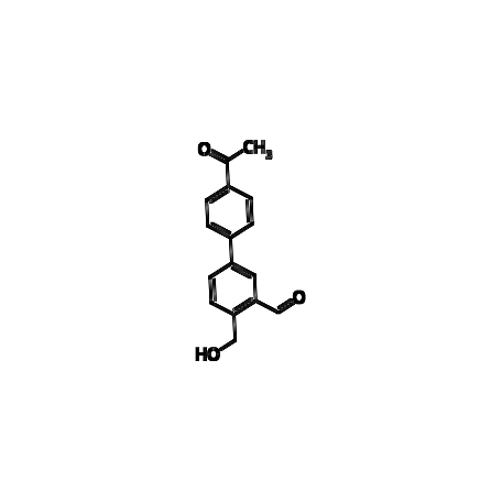 CC(=O)c1ccc(-c2ccc(CO)c(C=O)c2)cc1